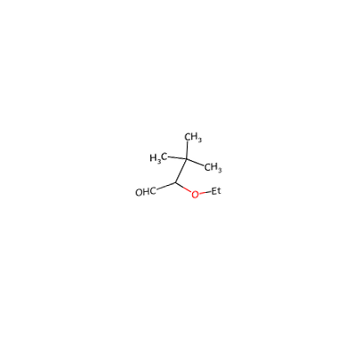 CCOC(C=O)C(C)(C)C